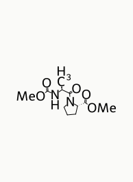 COC(=O)N[C@@H](C)C(=O)N1CCC[C@H]1C(=O)OC